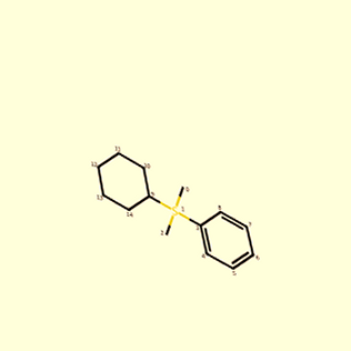 CS(C)(c1ccccc1)C1CCCCC1